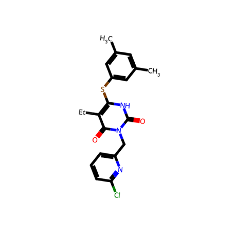 CCc1c(Sc2cc(C)cc(C)c2)[nH]c(=O)n(Cc2cccc(Cl)n2)c1=O